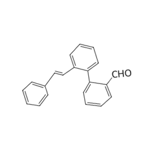 O=Cc1ccccc1-c1ccccc1/C=C/c1ccccc1